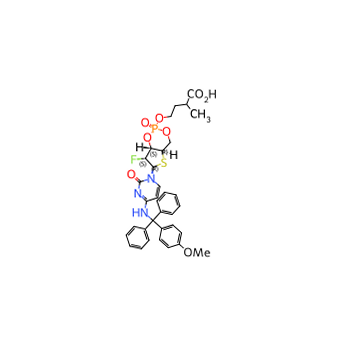 COc1ccc(C(Nc2ccn([C@@H]3S[C@@H]4COP(=O)(OCCC(C)C(=O)O)O[C@H]4[C@@H]3F)c(=O)n2)(c2ccccc2)c2ccccc2)cc1